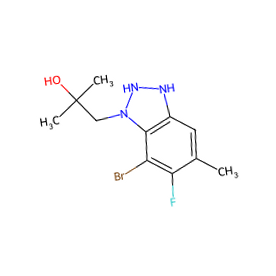 Cc1cc2c(c(Br)c1F)N(CC(C)(C)O)NN2